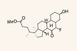 COC(=O)CC[C@@H](C)[C@H]1CC[C@H]2[C@@H]3C(=O)C(F)C4C[C@H](O)CC[C@]4(C)[C@H]3CC[C@]12C